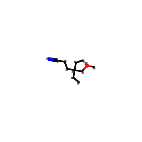 CCC(CC)(CCC#N)COC